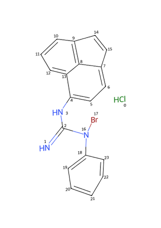 Cl.N=C(Nc1ccc2c3c(cccc13)C=C2)N(Br)c1ccccc1